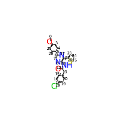 COc1ccc(-c2cnc(NC(=O)Cc3ccc(Cl)cc3)c(-c3cccs3)n2)cc1